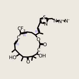 C/C(=C\c1csc(CN=[N+]=[N-])n1)C1C/C=C(/C(F)(F)F)C/C=C/C(C)C(O)C(C)C(=O)C(C)(C)C(O)CC(=O)O1